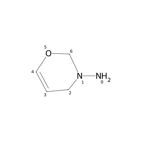 NN1CC=COC1